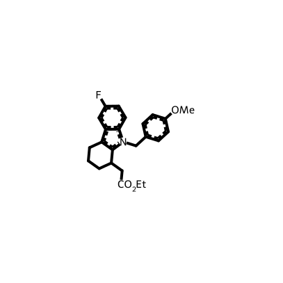 CCOC(=O)CC1CCCc2c1n(Cc1ccc(OC)cc1)c1ccc(F)cc21